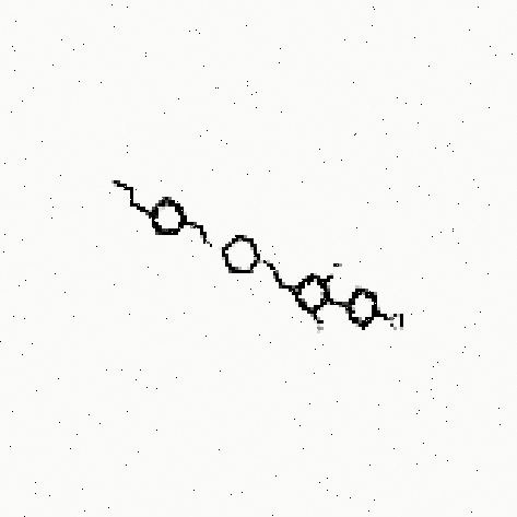 CCCc1ccc(CC[C@H]2CC[C@H](CCc3cc(F)c(-c4ccc(Cl)cc4)c(F)c3)CC2)cc1